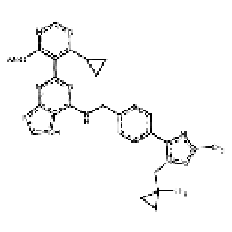 COc1ncnc(C2CC2)c1-c1nc(NCc2ccc(-c3nc(C(F)(F)F)cn3CC3(C(F)(F)F)CC3)cc2)c2[nH]cnc2n1